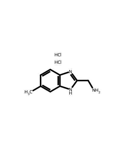 Cc1ccc2nc(CN)[nH]c2c1.Cl.Cl